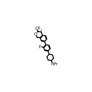 CCCC1CCC(c2ccc(-c3ccc4c(c3)COC(C(F)(F)F)C4)c(F)c2)CC1